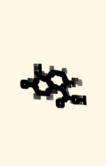 O=C(O)c1c(F)ccc2[nH]c(=O)ccc12